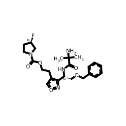 CC(C)(N)C(=O)N[C@H](COCc1ccccc1)c1nocc1CCOC(=O)N1CC[C@@H](F)C1